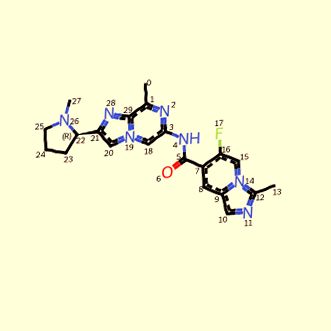 Cc1nc(NC(=O)c2cc3cnc(C)n3cc2F)cn2cc([C@H]3CCCN3C)nc12